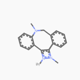 CC(C)n1c2c(n1C)-c1ccccc1CN(C)c1ccccc1-2